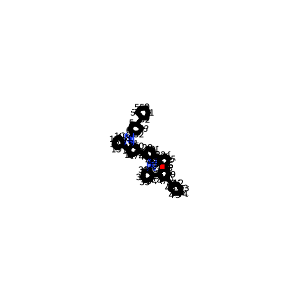 c1ccc(-c2ccc(-n3c4ccccc4c4ccc(-c5ccc6c7ccccc7n(-c7ccccc7-c7cccc(-c8ccccc8)c7)c6c5)cc43)cc2)cc1